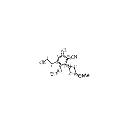 CCOc1c(CCCl)cc(Cl)c(C#N)c1N1CC(OC)C1